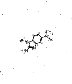 CCCCn1c(N)nc2cc(N(C)C(C)=O)ccc21